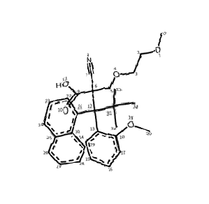 COCCOCC(C#N)(C(=O)O)C(c1ccccc1OC)(c1cccc2ccccc12)C(C)(C)C